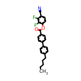 CCCCCc1ccc(-c2ccc(C(=O)Oc3ccc(C#N)c(F)c3F)cc2)cc1